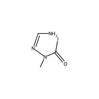 CN(/N=C\N)C(=O)I